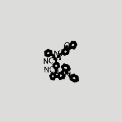 N#Cc1cc(-c2nc(-c3ccc4c(c3)oc3ccccc34)nc(-c3ccccc3)c2C#N)ccc1-n1c2ccccc2c2ccc3c(c4ccccc4n3-c3ccccc3)c21